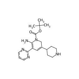 CC(C)(C)OC(=O)N1CC(C2CCNCC2)=CC(c2ncccn2)=C1N